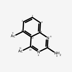 CC(=O)c1cccc2nc(N)nc(C(C)=O)c12